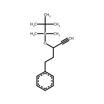 C#CC(CCc1ccccc1)O[Si](C)(C)C(C)(C)C